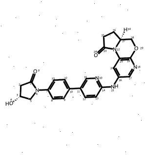 O=C1C[C@@H](O)CN1c1ccc(-c2ccc(Nc3cnc4c(c3)N3C(=O)CC[C@H]3CO4)nc2)cc1